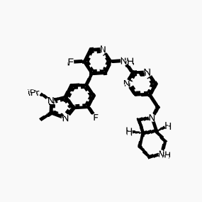 Cc1nc2c(F)cc(-c3cc(Nc4ncc(CN5C[C@H]6CCNC[C@H]65)cn4)ncc3F)cc2n1C(C)C